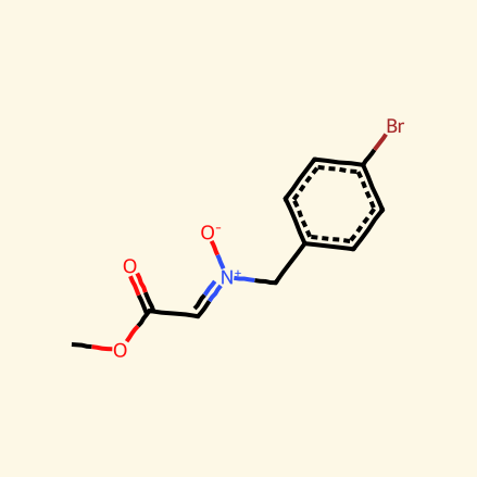 COC(=O)C=[N+]([O-])Cc1ccc(Br)cc1